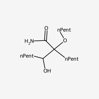 CCCCCOC(CCCCC)(C(N)=O)C(O)CCCCC